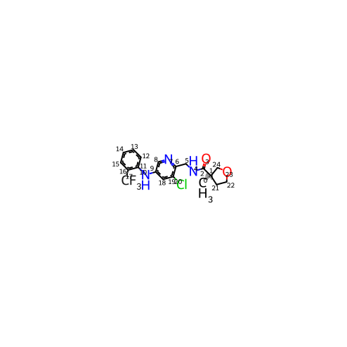 C[C@@]1(C(=O)NCc2ncc(Nc3ccccc3C(F)(F)F)cc2Cl)CCOC1